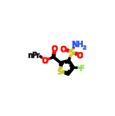 CCCOC(=O)c1scc(F)c1S(N)(=O)=O